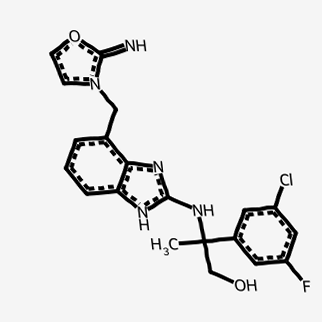 CC(CO)(Nc1nc2c(Cn3ccoc3=N)cccc2[nH]1)c1cc(F)cc(Cl)c1